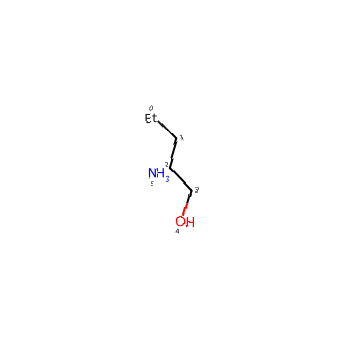 CCCCCO.N